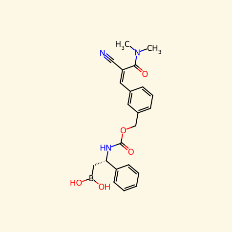 CN(C)C(=O)C(C#N)=Cc1cccc(COC(=O)N[C@@H](CB(O)O)c2ccccc2)c1